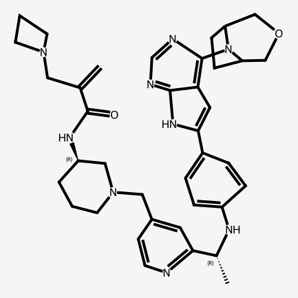 C=C(CN1CCC1)C(=O)N[C@@H]1CCCN(Cc2ccnc([C@@H](C)Nc3ccc(-c4cc5c(N6C7CCC6COC7)ncnc5[nH]4)cc3)c2)C1